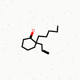 C=CCC1(CCCCC)CCCCC1=O